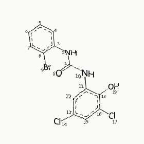 O=C(Nc1ccccc1Br)Nc1cc(Cl)cc(Cl)c1O